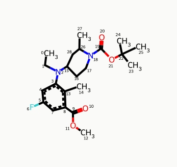 CCN(c1cc(F)cc(C(=O)OC)c1C)C1CCN(C(=O)OC(C)(C)C)C(C)C1